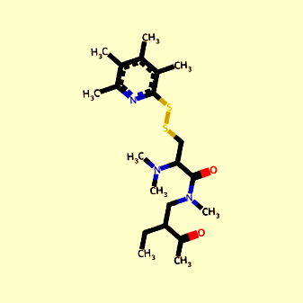 CCC(CN(C)C(=O)C(CSSc1nc(C)c(C)c(C)c1C)N(C)C)C(C)=O